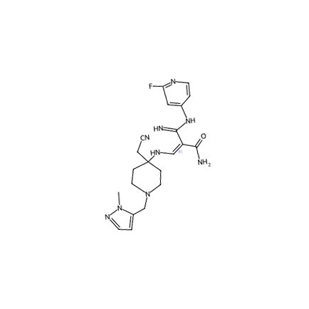 Cn1nccc1CN1CCC(CC#N)(N/C=C(\C(=N)Nc2ccnc(F)c2)C(N)=O)CC1